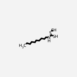 CCCCCCCCCCNC(S)SS